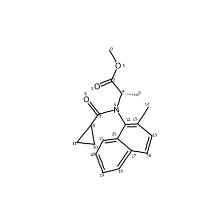 COC(=O)[C@H](C)N(C(=O)C1CC1)c1c(C)ccc2ccccc12